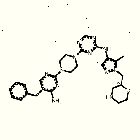 Cc1c(Nc2ncnc(N3CCN(c4ncc(Cc5ccccc5)c(N)n4)CC3)n2)cnn1C[C@@H]1CNCCO1